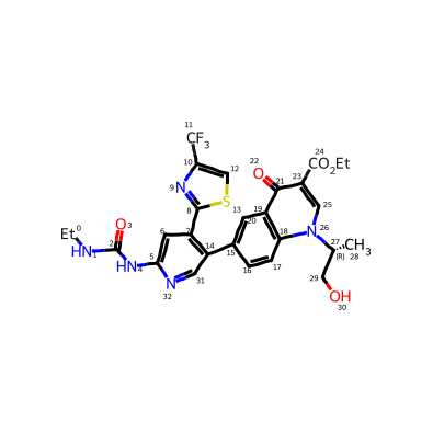 CCNC(=O)Nc1cc(-c2nc(C(F)(F)F)cs2)c(-c2ccc3c(c2)c(=O)c(C(=O)OCC)cn3[C@H](C)CO)cn1